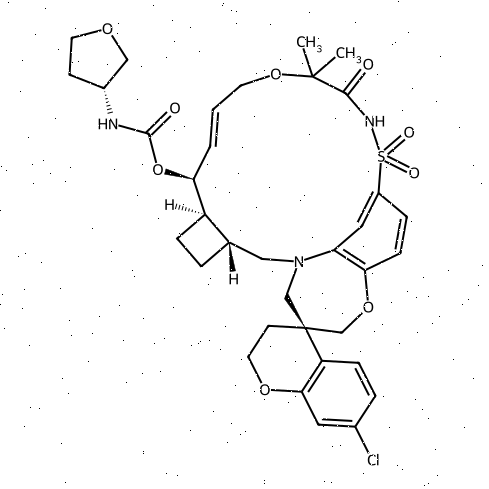 CC1(C)OC/C=C/[C@H](OC(=O)N[C@@H]2CCOC2)[C@@H]2CC[C@H]2CN2C[C@@]3(CCOc4cc(Cl)ccc43)COc3ccc(cc32)S(=O)(=O)NC1=O